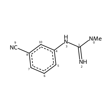 CNC(=N)Nc1cccc(C#N)c1